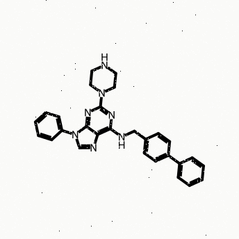 c1ccc(-c2ccc(CNc3nc(N4CCNCC4)nc4c3ncn4-c3ccccc3)cc2)cc1